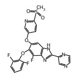 CS(=O)(=O)c1ccc(Oc2cc3[nH]c(-c4cnccn4)nc3c(F)c2Oc2c(F)cccc2F)cn1